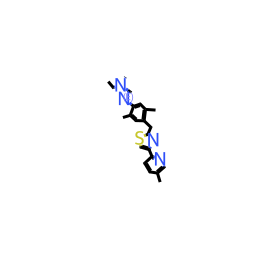 CCN(C)/C=N/c1cc(C)c(Cc2nc(-c3ccc(C)cn3)cs2)cc1C